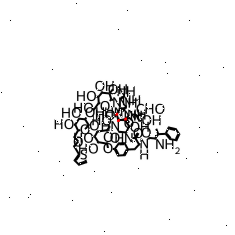 CC(c1ccccc1)C(N)C(=O)NC(Cc1ccc(OC2OC(CO)C(OC3OC(COCc4cccs4)C(O)C(O)C3O)C(O)C2O)cc1)C(=O)NC(C(=O)NC(C(=O)NC([C]=O)CO)C(O)C1CNC(=N)N1C1OC(CO)C(O)C(O)C1O)C(O)C1CNC(=N)N1